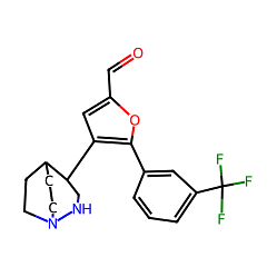 O=Cc1cc(C2CNN3CCC2CC3)c(-c2cccc(C(F)(F)F)c2)o1